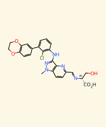 Cn1nc(Nc2cccc(-c3ccc4c(c3)OCCO4)c2Cl)c2nc(C=N[C@H](CO)C(=O)O)ccc21